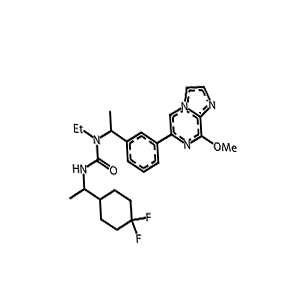 CCN(C(=O)NC(C)C1CCC(F)(F)CC1)C(C)c1cccc(-c2cn3ccnc3c(OC)n2)c1